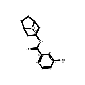 CN1C2CCC1CC(OC(=O)c1cccc(O)c1)C2